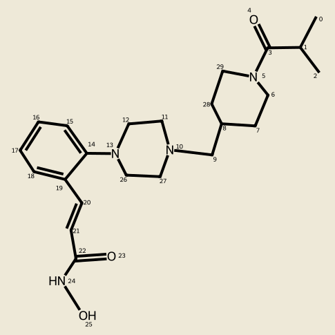 CC(C)C(=O)N1CCC(CN2CCN(c3ccccc3/C=C/C(=O)NO)CC2)CC1